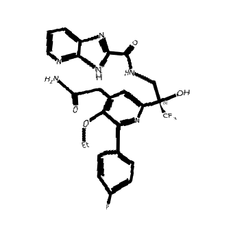 CCOc1c(CC(N)=O)cc([C@@](O)(CNC(=O)c2nc3cccnc3[nH]2)C(F)(F)F)nc1-c1ccc(F)cc1